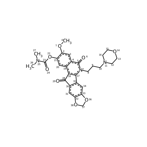 COc1cc2c(=O)n(CCCN3CCOCC3)c3c(c2cc1OC(=O)N(C)C)C(=O)c1cc2c(cc1-3)OCO2